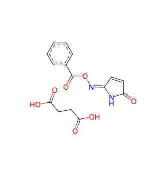 O=C(O)CCC(=O)O.O=C1C=CC(=NOC(=O)c2ccccc2)N1